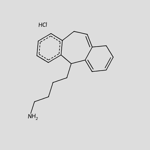 Cl.NCCCCC1C2=CC=CCC2=CCc2ccccc21